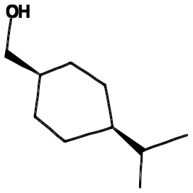 CC(C)[C@H]1CC[C@@H](CO)CC1